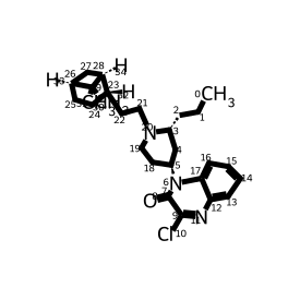 CCC[C@@H]1C[C@H](n2c(=O)c(Cl)nc3ccccc32)CCN1CC[C@@H]1CC[C@H]2C[C@@H]1C2(C)C